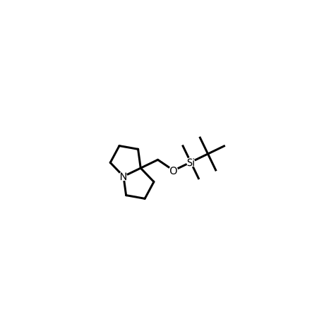 CC(C)(C)[Si](C)(C)OCC12CCCN1CCC2